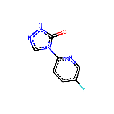 O=c1[nH]ncn1-c1ccc(F)cn1